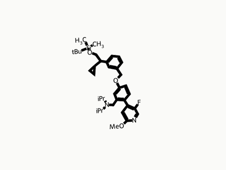 COc1cc(-c2ccc(OCc3cccc(C(CO[Si](C)(C)C(C)(C)C)C4CC4)c3)cc2CN(C(C)C)C(C)C)c(F)cn1